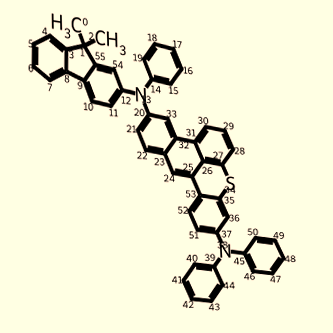 CC1(C)c2ccccc2-c2ccc(N(c3ccccc3)c3ccc4cc5c6c(cccc6c4c3)Sc3cc(N(c4ccccc4)c4ccccc4)ccc3-5)cc21